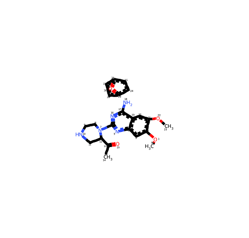 COc1cc2nc(N3CCNCC3C(C)=O)nc(N)c2cc1OC.c1cc2ccc1o2